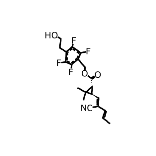 C/C=C/C(C#N)=C/[C@@H]1[C@@H](C(=O)OCc2c(F)c(F)c(CCO)c(F)c2F)C1(C)C